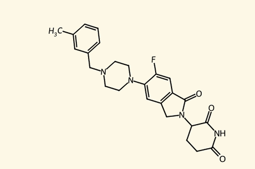 Cc1cccc(CN2CCN(c3cc4c(cc3F)C(=O)N(C3CCC(=O)NC3=O)C4)CC2)c1